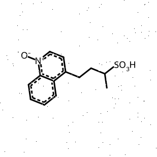 CC(CCc1cc[n+]([O-])c2ccccc12)S(=O)(=O)O